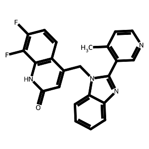 Cc1ccncc1-c1nc2ccccc2n1Cc1cc(=O)[nH]c2c(F)c(F)ccc12